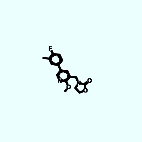 COc1ncc(-c2ccc(F)c(C)c2)cc1CN1CCOC1=O